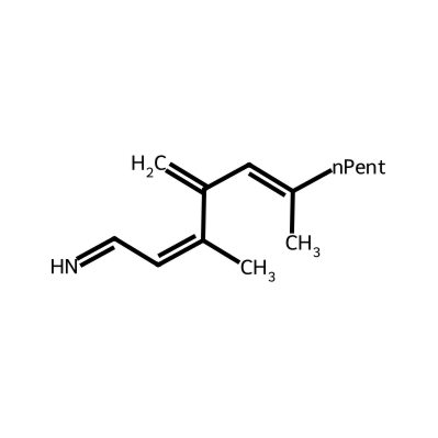 C=C(/C=C(\C)CCCCC)/C(C)=C\C=N